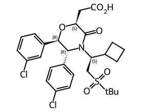 CC(C)(C)S(=O)(=O)C[C@H](C1CCC1)N1C(=O)[C@H](CC(=O)O)O[C@H](c2cccc(Cl)c2)[C@H]1c1ccc(Cl)cc1